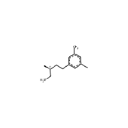 Cc1cc(CC[C@H](C)CN)cc(C(F)(F)F)c1